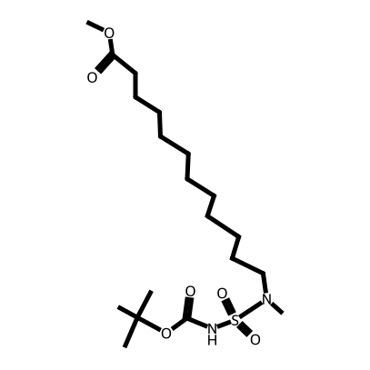 COC(=O)CCCCCCCCCCCN(C)S(=O)(=O)NC(=O)OC(C)(C)C